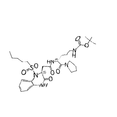 CCCCCS(=O)(=O)N1c2ccccc2NC(=O)[C@@H]1CC(=O)N[C@H](CCCNC(=O)OC(C)(C)C)C(=O)N1CCCC1